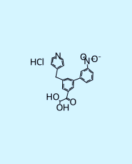 Cl.O=C(c1cc(Cc2ccncc2)cc(-c2cccc([N+](=O)[O-])c2)c1)C(O)O